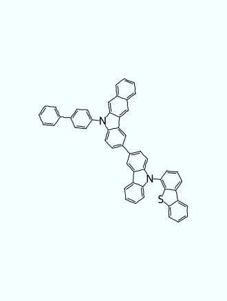 c1ccc(-c2ccc(-n3c4ccc(-c5ccc6c(c5)c5ccccc5n6-c5cccc6c5sc5ccccc56)cc4c4cc5ccccc5cc43)cc2)cc1